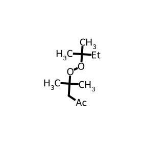 CCC(C)(C)OOC(C)(C)CC(C)=O